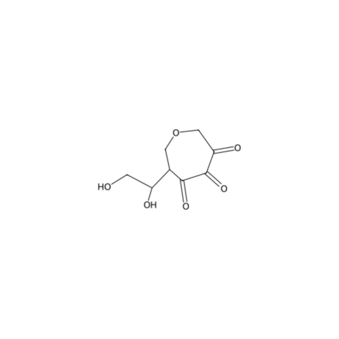 O=C1COCC(C(O)CO)C(=O)C1=O